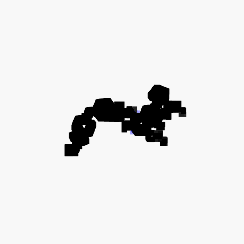 C=N/C=C(F)\C(=N/CNc1ccc(CN2CCC3(CC2)CN(CC)C3)cn1)c1cc(F)c(N=C)c(N2CCCC2)c1